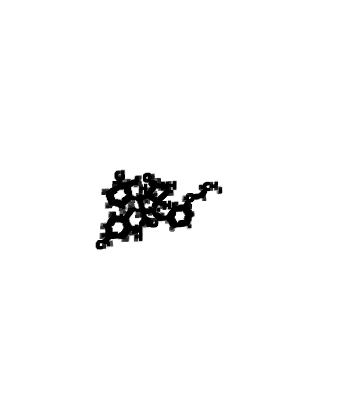 CCOc1cccc(CN2[C@H]3CNC(=O)[C@H]3[C@H](c3cccc(Cl)c3F)[C@@]23Cc2ccc(Cl)cc2NC3=O)c1